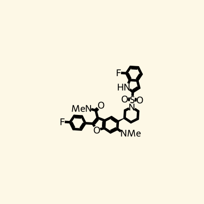 CNC(=O)c1c(-c2ccc(F)cc2)oc2cc(NC)c([C@@H]3CCCN(S(=O)(=O)c4cc5cccc(F)c5[nH]4)C3)cc12